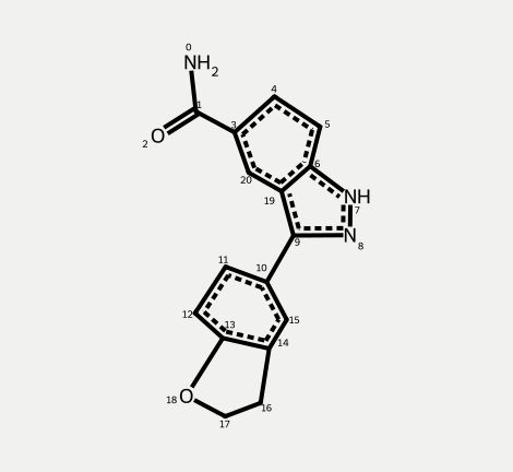 NC(=O)c1ccc2[nH]nc(-c3ccc4c(c3)CCO4)c2c1